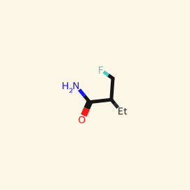 CCC(CF)C(N)=O